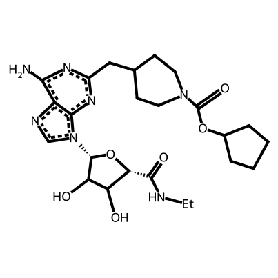 CCNC(=O)[C@H]1O[C@@H](n2cnc3c(N)nc(CC4CCN(C(=O)OC5CCCC5)CC4)nc32)C(O)C1O